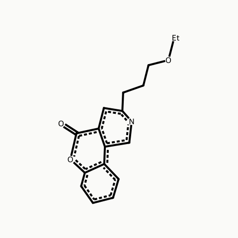 CCOCCCc1cc2c(=O)oc3ccccc3c2cn1